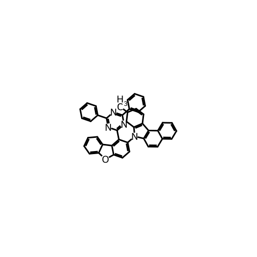 CC1C=Cc2c(n(-c3ccc4oc5ccccc5c4c3-c3nc(-c4ccccc4)nc(-c4ccccc4)n3)c3ccc4ccccc4c23)C1